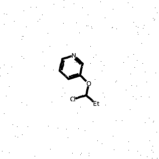 CCC(Cl)Oc1cccnc1